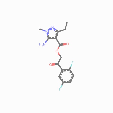 CCc1nn(C)c(N)c1C(=O)OCC(=O)c1cc(F)ccc1F